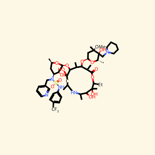 CCC1OC(=O)C(C)C(O[C@H]2C[C@@](C)(OC)[C@](O)(CN3CCCCC3)[C@H](C)O2)C(C)C(O[C@@H]2O[C@H](C)C[C@H](N(Cc3cccnc3)S(=O)(=O)Nc3ccc(C(F)(F)F)cc3)[C@H]2O)C(C)(O)CC(C)CNC(C)C(O)C1(C)O